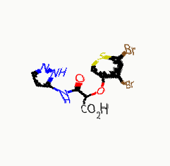 O=C(O)C(Oc1csc(Br)c1Br)C(=O)Nc1ccn[nH]1